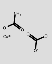 CC(=O)[O-].O=C([O-])[O-].[Cu+3]